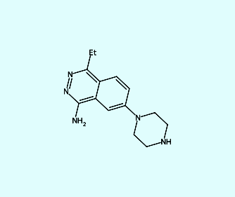 CCc1nnc(N)c2cc(N3CCNCC3)ccc12